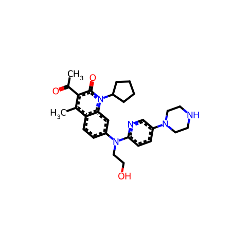 CC(=O)c1c(C)c2ccc(N(CCO)c3ccc(N4CCNCC4)cn3)cc2n(C2CCCC2)c1=O